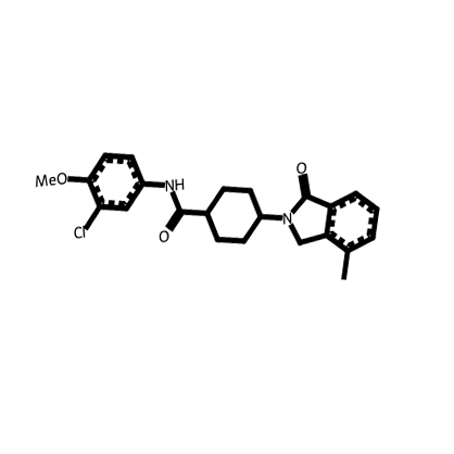 COc1ccc(NC(=O)C2CCC(N3Cc4c(C)cccc4C3=O)CC2)cc1Cl